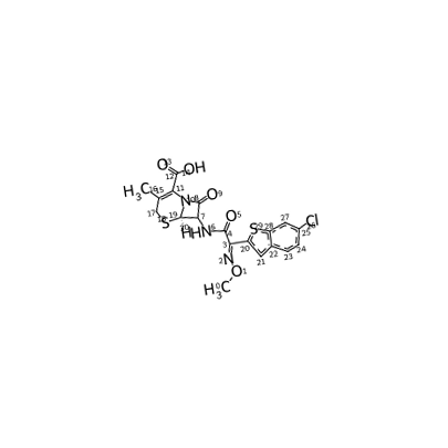 CO/N=C(/C(=O)NC1C(=O)N2C(C(=O)O)=C(C)CS[C@H]12)c1cc2ccc(Cl)cc2s1